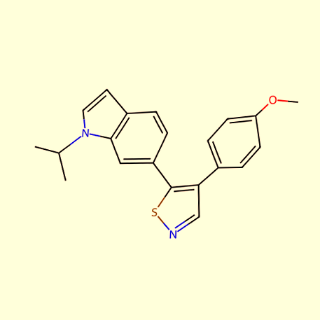 COc1ccc(-c2cnsc2-c2ccc3ccn(C(C)C)c3c2)cc1